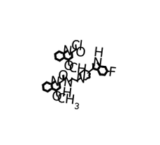 COc1cc(C(=O)Cl)nc2ccccc12.COc1cc(C(=O)NCCN2CCC(c3c[nH]c4cc(F)ccc34)CC2)nc2ccccc12